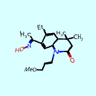 CCC1=CC2C(C=C1/C(C)=N/O)N(CCCOC)C(=O)CC2(C)C